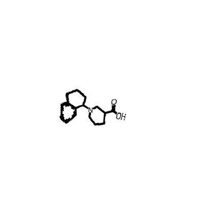 O=C(O)C1CCCN(C2CCCc3ccccc32)C1